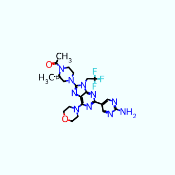 CC(=O)N1CCN(c2nc3c(N4CCOCC4)nc(-c4cnc(N)nc4)nc3n2CC(F)(F)F)C[C@@H]1C